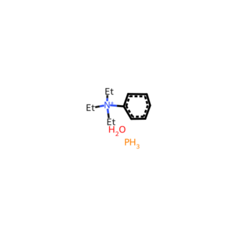 CC[N+](CC)(CC)c1ccccc1.O.P